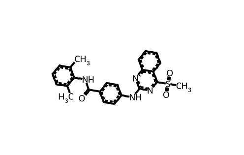 Cc1cccc(C)c1NC(=O)c1ccc(Nc2nc(S(C)(=O)=O)c3ccccc3n2)cc1